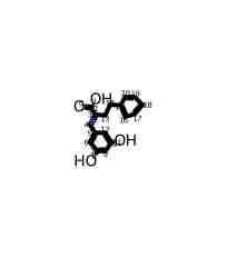 O=C(O)/C(=C/c1cc(O)cc(O)c1)CCc1ccccc1